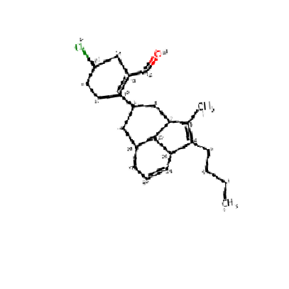 CCCCC1=C(C)C2CC(C3=C(C=O)CC(Cl)CC3)CC3CC=CC1C32